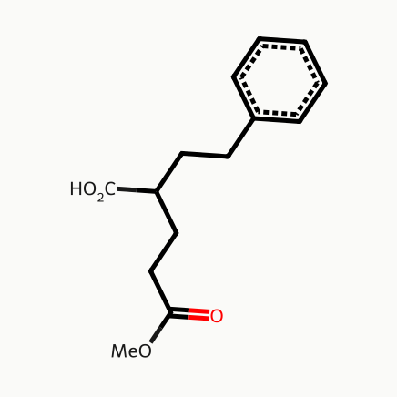 COC(=O)CCC(CCc1ccccc1)C(=O)O